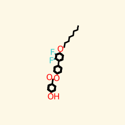 CCCCCCCCOc1ccc(-c2ccc(OC(=O)c3ccc(O)cc3)cc2)c(F)c1F